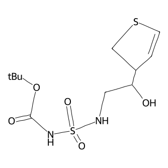 CC(C)(C)OC(=O)NS(=O)(=O)NCC(O)C1C=CSC1